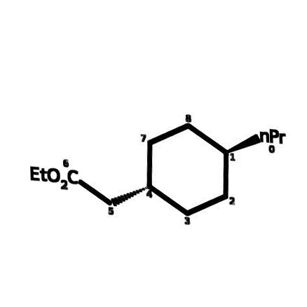 CCC[C@H]1CC[C@H](CC(=O)OCC)CC1